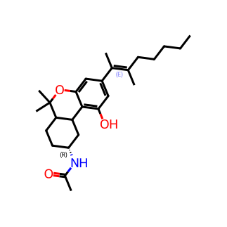 CCCCC/C(C)=C(\C)c1cc(O)c2c(c1)OC(C)(C)C1CC[C@@H](NC(C)=O)CC21